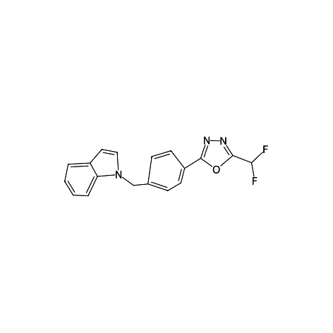 FC(F)c1nnc(-c2ccc(Cn3ccc4ccccc43)cc2)o1